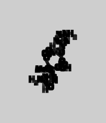 COC1C2COS(=O)(=O)NC3CC(n4cnc5c(N)ncnc54)OC3COP(=O)(O)OC1C(n1cnc3c(=O)[nH]c(N)nc31)O2